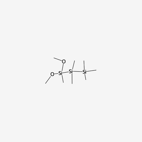 CO[Si](C)(OC)[Si](C)(C)[Si](C)(C)C